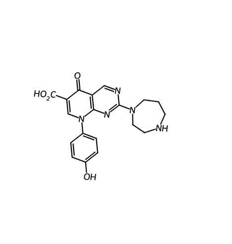 O=C(O)c1cn(-c2ccc(O)cc2)c2nc(N3CCCNCC3)ncc2c1=O